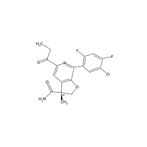 CCC(=O)c1cc2c(c(-c3cc(Cl)c(F)cc3F)n1)OC[C@]2(C)C(N)=O